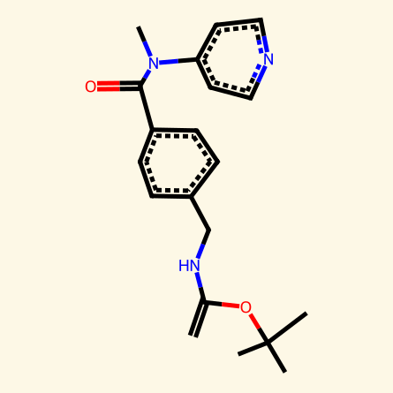 C=C(NCc1ccc(C(=O)N(C)c2ccncc2)cc1)OC(C)(C)C